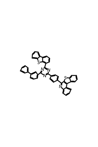 c1ccc(-c2cccc(-c3nc(-c4ccc(-c5nc6ccccc6c6c5sc5ccccc56)cc4)nc(-c4cccc5c4sc4ccccc45)n3)c2)cc1